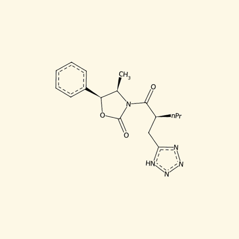 CCC[C@@H](Cc1nnn[nH]1)C(=O)N1C(=O)O[C@@H](c2ccccc2)[C@H]1C